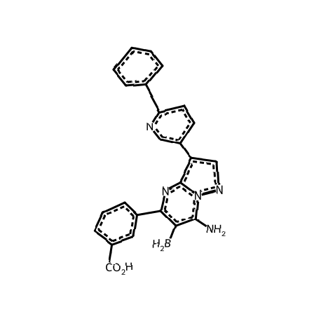 Bc1c(-c2cccc(C(=O)O)c2)nc2c(-c3ccc(-c4ccccc4)nc3)cnn2c1N